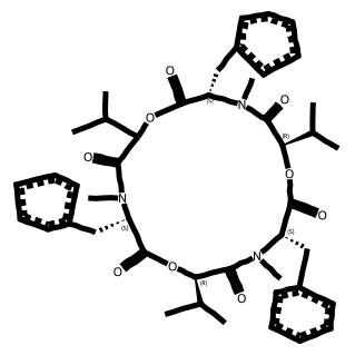 CC(C)C1OC(=O)[C@H](Cc2ccccc2)N(C)C(=O)[C@@H](C(C)C)OC(=O)[C@H](Cc2ccccc2)N(C)C(=O)[C@@H](C(C)C)OC(=O)[C@H](Cc2ccccc2)N(C)C1=O